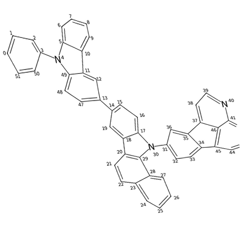 c1ccc(-n2c3ccccc3c3cc(-c4ccc5c(c4)c4ccc6ccccc6c4n5-c4ccc5c(c4)-c4ccnc6nccc-5c46)ccc32)cc1